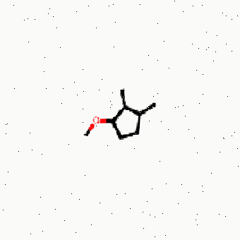 COC1CCC(C)C1C